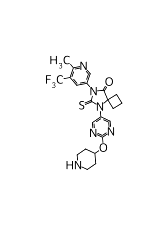 Cc1ncc(N2C(=O)C3(CCC3)N(c3cnc(OC4CCNCC4)nc3)C2=S)cc1C(F)(F)F